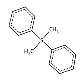 CS(C)(c1ccccc1)c1ccccc1